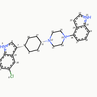 Clc1ccc2[nH]cc([C@H]3CC[C@@H](N4CCN(c5cccc6[nH]ccc56)CC4)CC3)c2c1